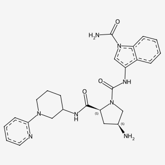 NC(=O)n1cc(NC(=O)N2C[C@@H](N)C[C@H]2C(=O)NC2CCCN(c3ccccn3)C2)c2ccccc21